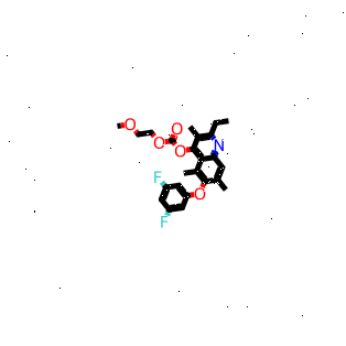 CCc1nc2cc(C)c(Oc3cc(F)cc(F)c3)c(C)c2c(OC(=O)OCCOC)c1C